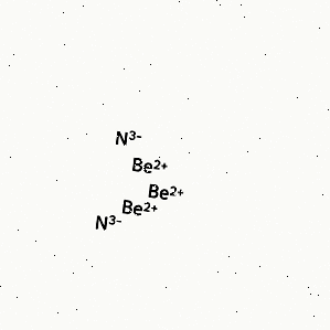 [Be+2].[Be+2].[Be+2].[N-3].[N-3]